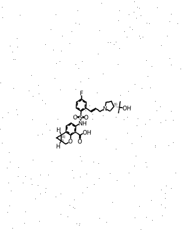 CC(C)(O)[C@H]1CCN(CC=Cc2cc(F)ccc2S(=O)(=O)Nc2ccc3c(c2C(=O)O)OC[C@@H]2C[C@H]32)C1